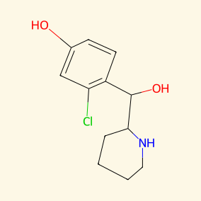 Oc1ccc(C(O)C2CCCCN2)c(Cl)c1